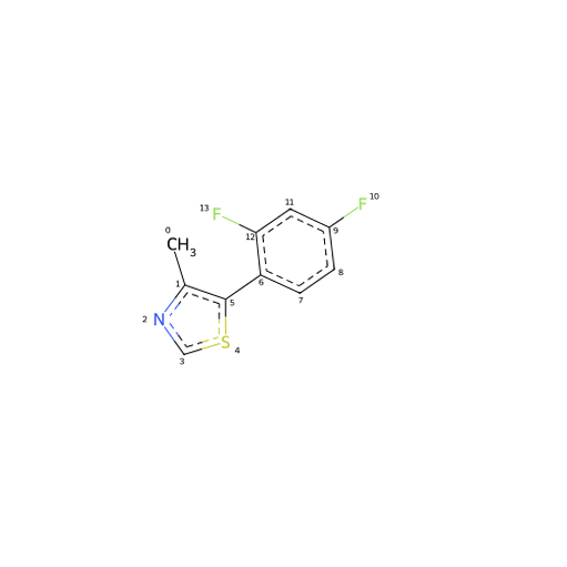 Cc1ncsc1-c1ccc(F)cc1F